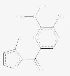 Cc1ccsc1C(=O)c1cnc(N)c(N(N)C=O)n1